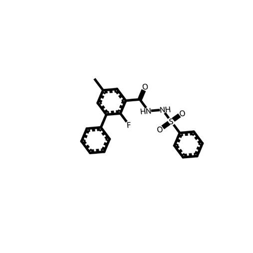 Cc1cc(C(=O)NNS(=O)(=O)c2ccccc2)c(F)c(-c2ccccc2)c1